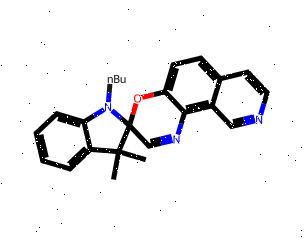 CCCCN1c2ccccc2C(C)(C)C12C=Nc1c(ccc3ccncc13)O2